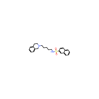 O=S(=O)(NCCCCCN1CCc2ccccc2C1)c1ccc2ccccc2c1